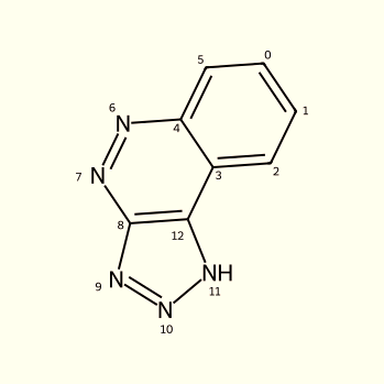 c1ccc2c(c1)nnc1nn[nH]c12